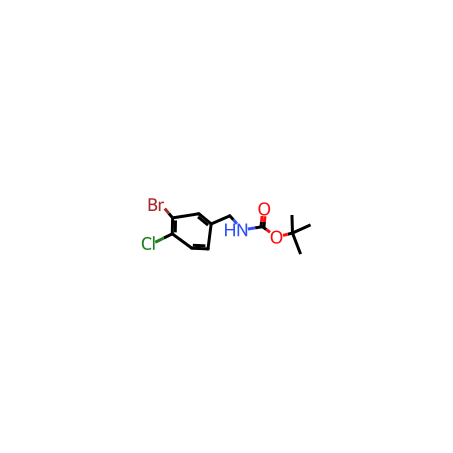 CC(C)(C)OC(=O)NCc1ccc(Cl)c(Br)c1